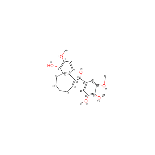 COc1ccc2c(c1O)CCCCC=C2C(=O)c1cc(OC)c(OC)c(OC)c1